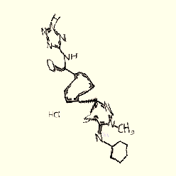 Cl.Cn1nc(-c2ccc(C(=O)Nc3nn[nH]n3)cc2)s/c1=N/C1CCCCC1